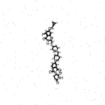 O=C1CCC(N2C(=O)c3ccc(N4CCC(CN5CCC(SCc6nc7cc(OCC8CC8)cc(F)c7c(=O)[nH]6)CC5)CC4)cc3C2=O)C(=O)N1